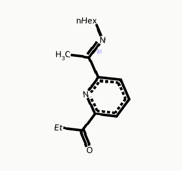 CCCCCC/N=C(\C)c1cccc(C(=O)CC)n1